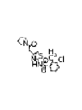 Cc1c(Cl)cccc1S(=O)(=O)Nc1nc(CC(=O)N2CCCC2)cs1